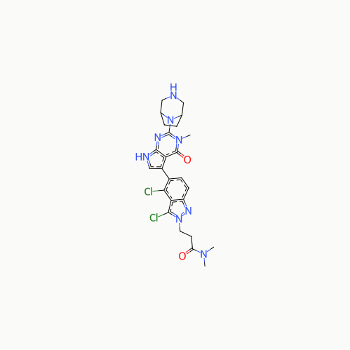 CN(C)C(=O)CCn1nc2ccc(-c3c[nH]c4nc(N5C6CCC5CNC6)n(C)c(=O)c34)c(Cl)c2c1Cl